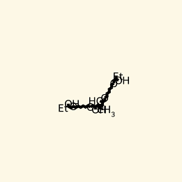 CCC(O)COCCCCCCOCC(O)CN(C)CC(O)COCCCCCCOCC(O)CC